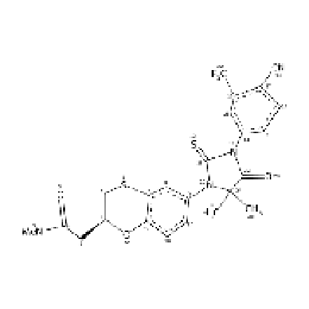 CNC(=O)C[C@H]1CSc2cc(N3C(=S)N(c4ccc(C#N)c(C(F)(F)F)c4)C(=O)C3(C)C)ccc2O1